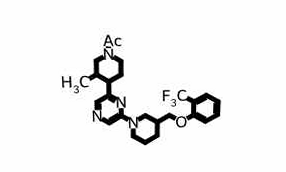 CC(=O)N1CCC(c2cncc(N3CCCC(COc4ccccc4C(F)(F)F)C3)n2)C(C)C1